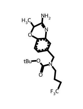 CC1Oc2ccc(CN(CCCC(F)(F)F)C(=O)OC(C)(C)C)cc2N=C1N